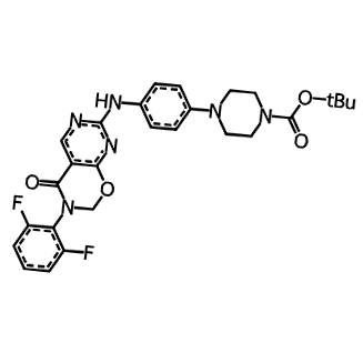 CC(C)(C)OC(=O)N1CCN(c2ccc(Nc3ncc4c(n3)OCN(c3c(F)cccc3F)C4=O)cc2)CC1